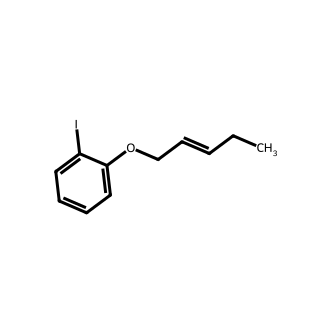 CCC=CCOc1ccccc1I